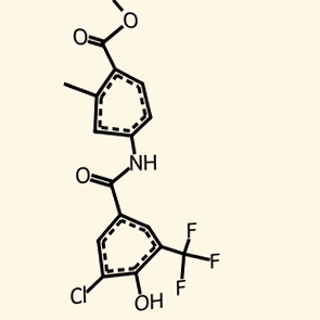 COC(=O)c1ccc(NC(=O)c2cc(Cl)c(O)c(C(F)(F)F)c2)cc1C